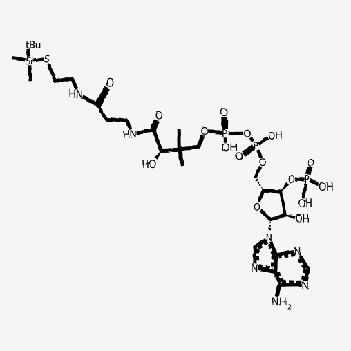 CC(C)(COP(=O)(O)OP(=O)(O)OC[C@H]1O[C@@H](n2cnc3c(N)ncnc32)[C@H](O)[C@@H]1OP(=O)(O)O)[C@@H](O)C(=O)NCCC(=O)NCCS[Si](C)(C)C(C)(C)C